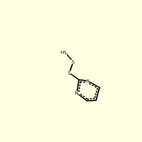 SSSc1ncccn1